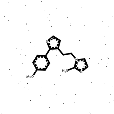 COc1ccc(-c2sccc2CCn2ccnc2N)cc1